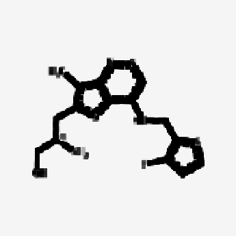 Cc1c(C[C@@H](N)CO)sc2c(NCc3sccc3F)cnnc12